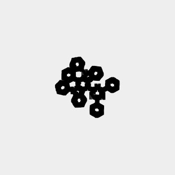 c1ccc(B2c3c(c4ccccc4n3-c3ccccc3)N(c3nc(-c4ccccc4)nc(-c4ccccc4)n3)c3c2n(-c2ccccc2)c2ccccc32)cc1